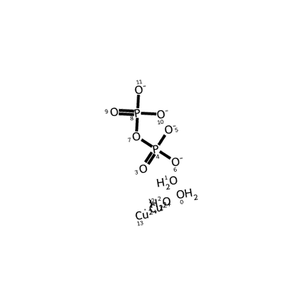 O.O.O.O=P([O-])([O-])OP(=O)([O-])[O-].[Cu+2].[Cu+2]